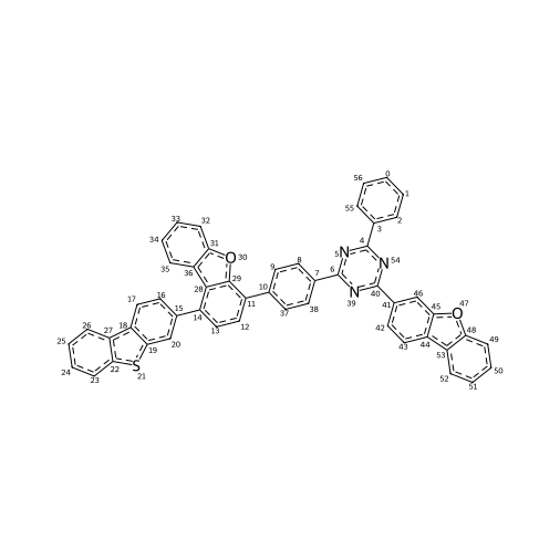 c1ccc(-c2nc(-c3ccc(-c4ccc(-c5ccc6c(c5)sc5ccccc56)c5c4oc4ccccc45)cc3)nc(-c3ccc4c(c3)oc3ccccc34)n2)cc1